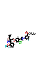 COC(=O)c1cc(F)cc(N2CC(c3ccc(OCc4c(-c5ccccc5OC(F)F)noc4C4CC4)cc3Cl)C2)c1